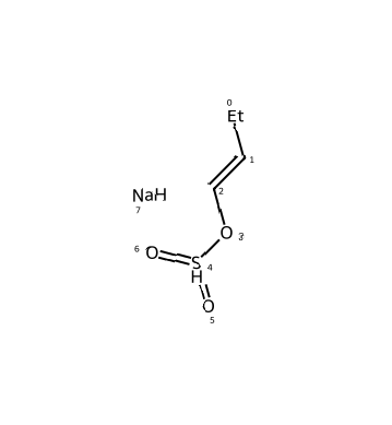 CCC=CO[SH](=O)=O.[NaH]